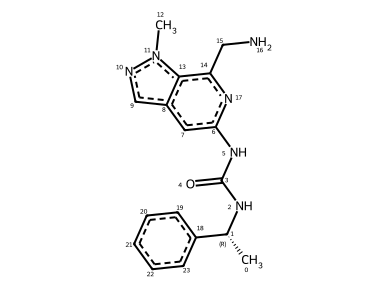 C[C@@H](NC(=O)Nc1cc2cnn(C)c2c(CN)n1)c1ccccc1